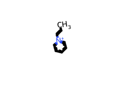 CC=C[n+]1ccccc1